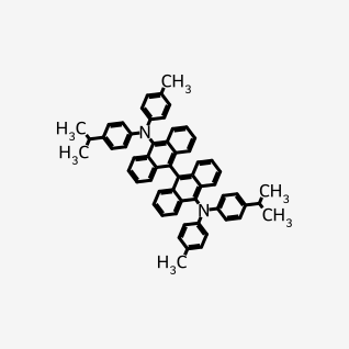 Cc1ccc(N(c2ccc(C(C)C)cc2)c2c3ccccc3c(-c3c4ccccc4c(N(c4ccc(C)cc4)c4ccc(C(C)C)cc4)c4ccccc34)c3ccccc23)cc1